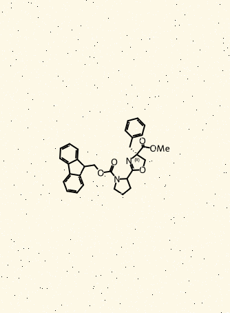 COC(=O)[C@@]1(Cc2ccccc2)COC(C2CCCN2C(=O)OCC2c3ccccc3-c3ccccc32)=N1